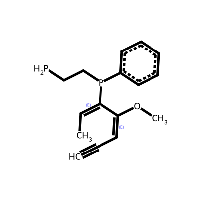 C#C/C=C(OC)\C(=C/C)P(CCP)c1ccccc1